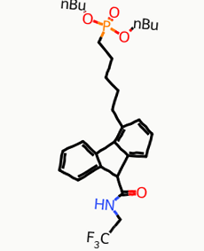 CCCCOP(=O)(CCCCCc1cccc2c1-c1ccccc1C2C(=O)NCC(F)(F)F)OCCCC